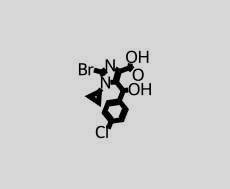 O=C(O)c1nc(Br)n(C2CC2)c1C(O)c1ccc(Cl)cc1